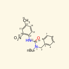 CCCCN(Cc1ccccc1)C(=O)Nc1ccc(C)cc1[N+](=O)[O-]